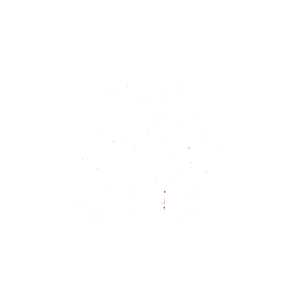 c1ccc(Cc2ccccc2-c2c(Cc3ccccc3)c(Cc3ccccc3)c(Cc3ccccc3)c(Cc3ccccc3)c2Cc2ccccc2)cc1